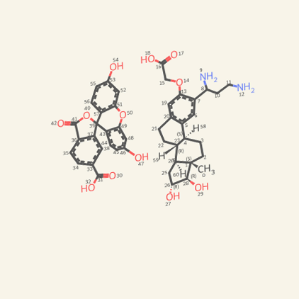 C[C@]12CC[C@@H]3c4cc(C(N)CCN)c(OCC(=O)O)cc4CC[C@H]3[C@@H]1C[C@@H](O)[C@@H]2O.O=C(O)c1ccc2c(c1)C1(OC2=O)c2ccc(O)cc2Oc2cc(O)ccc21